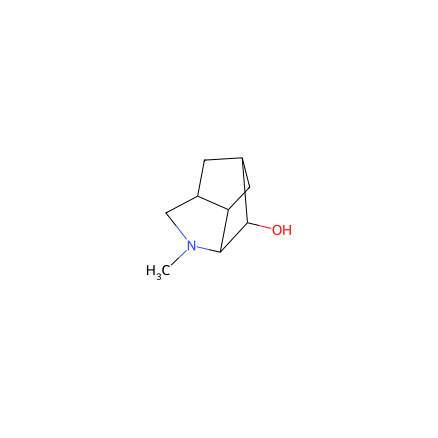 CN1CC2CC3CC2C1C3O